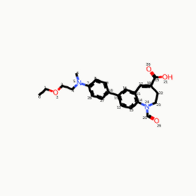 CCOCCN(C)c1ccc(-c2ccc3c(c2)C=C(C(=O)O)CCN3C=O)cc1